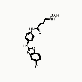 O=C(O)NCCCC(=O)Nc1ccc(Nc2nc3cc(Cl)ccc3o2)cc1